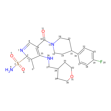 Cc1c(S(N)(=O)=O)ncc(C(=O)N2CCC(c3ccc(F)cc3)CC2)c1NCC1CCOCC1